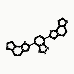 c1cc2c(ccc3cc(-c4ccc(-c5cc6ccc7sccc7c6s5)c5nsnc45)sc32)s1